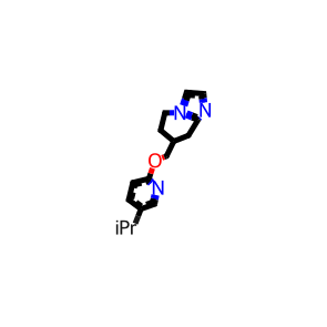 CC(C)c1ccc(OCC2CCn3ccnc3C2)nc1